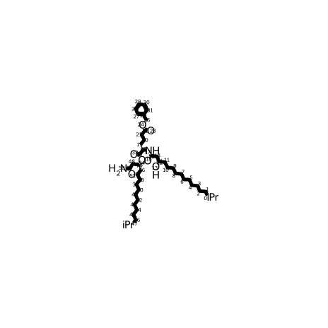 CC(C)CCCCCCCCCCC[C@H](O)CC(=O)N[C@@H](CCCC(=O)OCc1ccccc1)C(=O)O[C@@H](CCCCCCCCCCCC(C)C)CC(N)=O